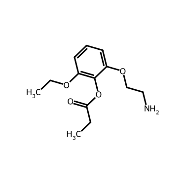 CCOc1cccc(OCCN)c1OC(=O)CC